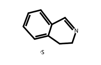 C1=NCCc2ccccc21.[S]